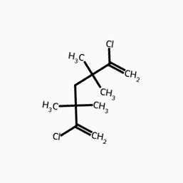 C=C(Cl)C(C)(C)CC(C)(C)C(=C)Cl